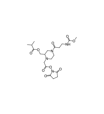 COC(=O)NCCC(=O)N1CCN(CC(=O)ON2C(=O)CCC2=O)C(COC(=O)C(C)C)C1